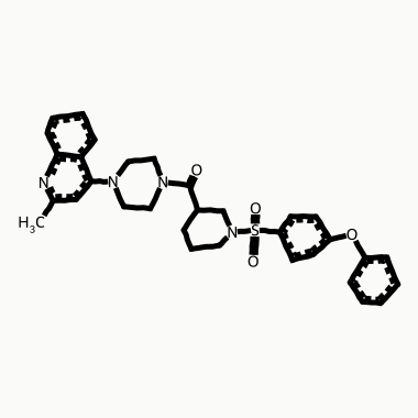 Cc1cc(N2CCN(C(=O)C3CCCN(S(=O)(=O)c4ccc(Oc5ccccc5)cc4)C3)CC2)c2ccccc2n1